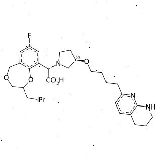 CC(C)CC1COCc2cc(F)cc(C(C(=O)O)N3CC[C@@H](OCCCCc4ccc5c(n4)NCCC5)C3)c2O1